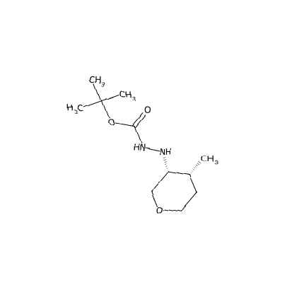 C[C@@H]1CCOC[C@@H]1NNC(=O)OC(C)(C)C